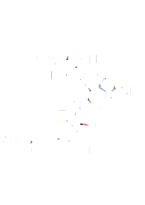 CC(=O)CC(=O)OCC1(C(=O)O)CS[C@@H]2C(NC(=O)C(=NOC(C)(C)C(=O)OC(C)(C)C)c3nsc(N)n3)C(=O)N2C1